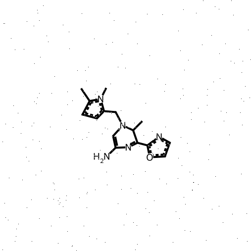 Cc1ccc(CN2C=C(N)N=C(c3ncco3)C2C)n1C